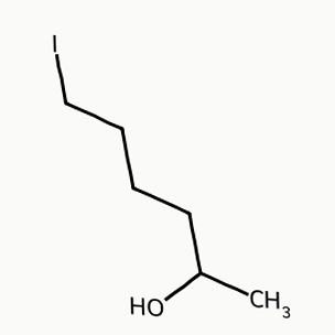 CC(O)CCCCI